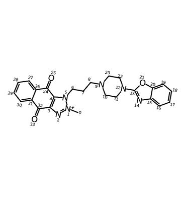 C[n+]1nc2c(n1CCCN1CCN(c3nc4ccccc4o3)CC1)C(=O)c1ccccc1C2=O